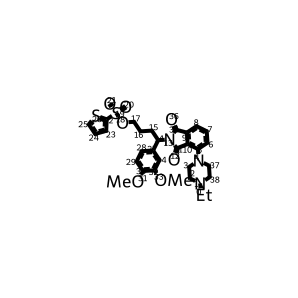 CCN1CCN(c2cccc3c2C(=O)N(C(CCCOS(=O)(=O)c2cccs2)c2ccc(OC)c(OC)c2)C3=O)CC1